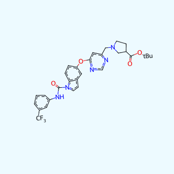 CC(C)(C)OC(=O)C1CCN(Cc2cc(Oc3ccc4c(ccn4C(=O)Nc4cccc(C(F)(F)F)c4)c3)ncn2)C1